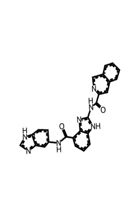 O=C(Nc1nc2c(C(=O)Nc3ccc4[nH]cnc4c3)cccc2[nH]1)c1cc2ccccc2cn1